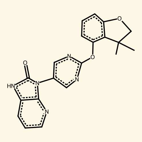 CC1(C)COc2cccc(Oc3ncc(-n4c(=O)[nH]c5cccnc54)cn3)c21